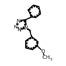 COc1cccc(Cn2nnnc2-c2ccccc2)c1